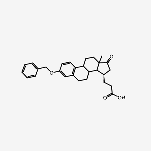 CC12CCC3c4ccc(OCc5ccccc5)cc4CCC3C1[C@H](CCC(=O)O)CC2=O